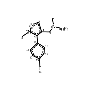 CCCN(C)Cc1cnn(C)c1-c1ccc(F)cc1